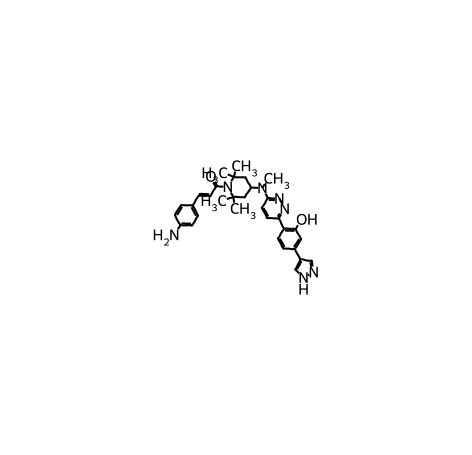 CN(c1ccc(-c2ccc(-c3cn[nH]c3)cc2O)nn1)C1CC(C)(C)N(C(=O)/C=C/c2ccc(N)cc2)C(C)(C)C1